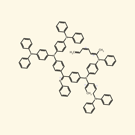 C=C/C=C\C=C(/C)N(c1ccccc1)c1ccc(N(C(/C=C\CN(c2ccccc2)c2ccccc2)=C/C)c2ccc(/C(=N\c3ccccc3)c3ccc(N(c4ccc(N(c5ccccc5)c5ccccc5)cc4)c4ccc(N(c5ccccc5)c5ccccc5)cc4)cc3)cc2)cc1